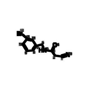 N#CCC(=O)NCc1cccc(Br)c1